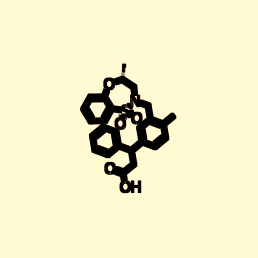 Cc1ccc(C(CC(=O)O)c2ccccc2)cc1CN1C[C@@H](C)Oc2ccccc2S1(=O)=O